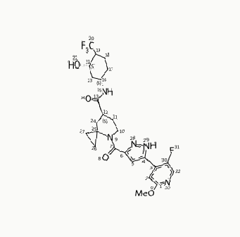 COc1cc(-c2cc(C(=O)N3CC[C@H](C(=O)N[C@H]4CCC(C(F)(F)F)[C@@H](O)C4)CC34CC4)n[nH]2)c(F)cn1